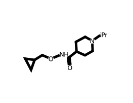 CC(C)N1CCC(C(=O)NOCC2CC2)CC1